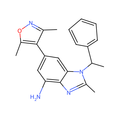 Cc1noc(C)c1-c1cc(N)c2nc(C)n(C(C)c3ccccc3)c2c1